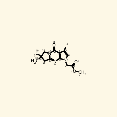 COC(=O)Cn1cc(I)c2c(=O)n3c(nc21)CC(C)(C)C3